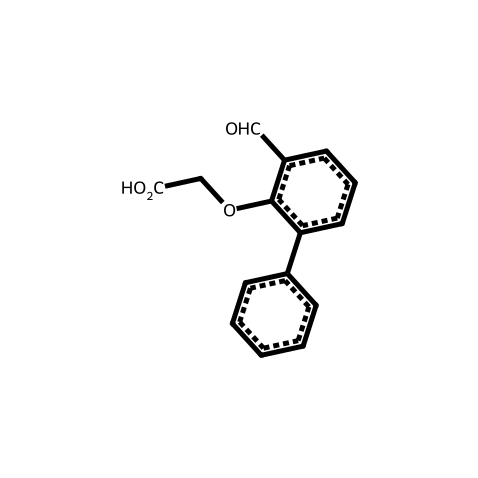 O=Cc1cccc(-c2ccccc2)c1OCC(=O)O